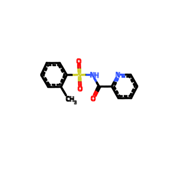 Cc1ccccc1S(=O)(=O)NC(=O)c1ccccn1